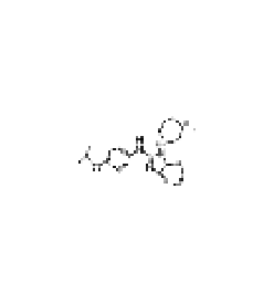 CC(C)Oc1ccc(Nc2nc3ccccc3n2[C@@H]2CCC[C@H](C)C2)cc1